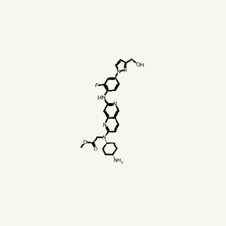 COC(=O)CN(c1ccc2cnc(Nc3ccc(-n4ccc(CO)n4)cc3F)cc2n1)[C@H]1CC[C@@H](N)CC1